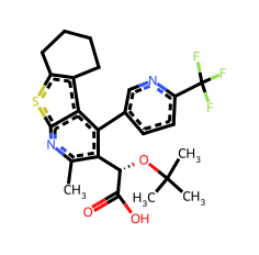 Cc1nc2sc3c(c2c(-c2ccc(C(F)(F)F)nc2)c1[C@H](OC(C)(C)C)C(=O)O)CCCC3